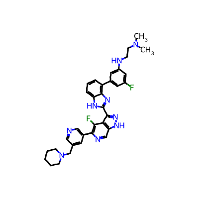 CN(C)CCNc1cc(F)cc(-c2cccc3[nH]c(-c4n[nH]c5cnc(-c6cncc(CN7CCCCC7)c6)c(F)c45)nc23)c1